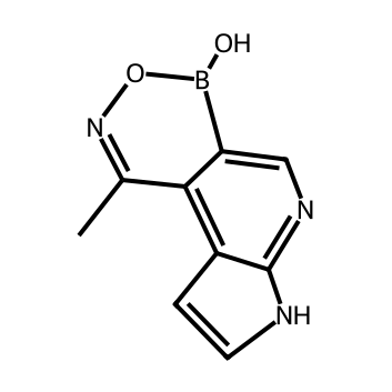 CC1=NOB(O)c2cnc3[nH]ccc3c21